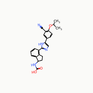 CC(C)Oc1ccc(-c2cnc(-c3cccc4c3CCC4NC(=O)O)[nH]2)cc1C#N